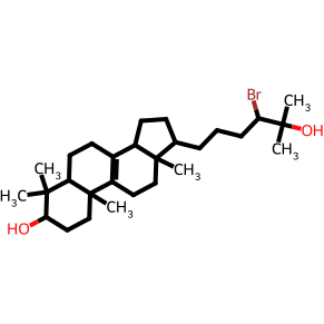 CC(C)(O)C(Br)CCCC1CCC2C3=C(CCC12C)C1(C)CCC(O)C(C)(C)C1CC3